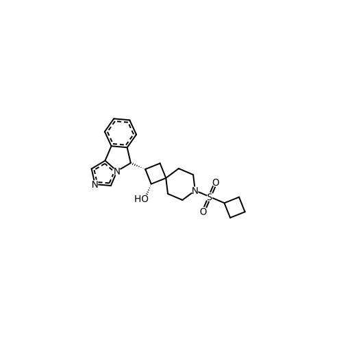 O=S(=O)(C1CCC1)N1CCC2(CC1)C[C@@H](C1c3ccccc3-c3cncn31)[C@H]2O